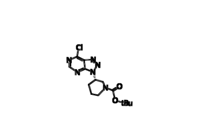 CC(C)(C)OC(=O)N1CCC[C@H](n2nnc3c(Cl)ncnc32)C1